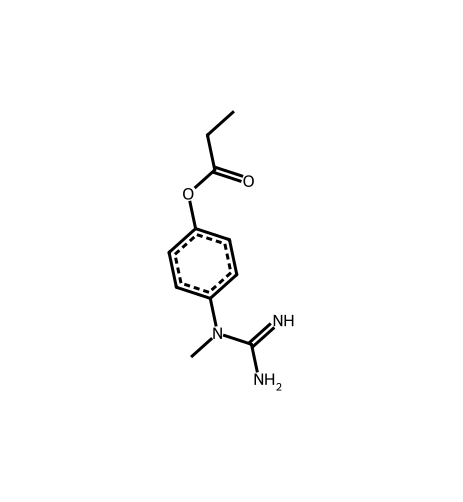 CCC(=O)Oc1ccc(N(C)C(=N)N)cc1